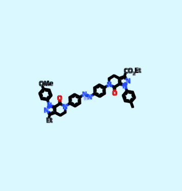 CCOC(=O)c1nn(-c2ccc(C)cc2)c2c1CCN(c1ccc(/N=N/c3ccc(N4CCc5c(CC)nn(-c6ccc(OC)cc6)c5C4=O)cc3)cc1)C2=O